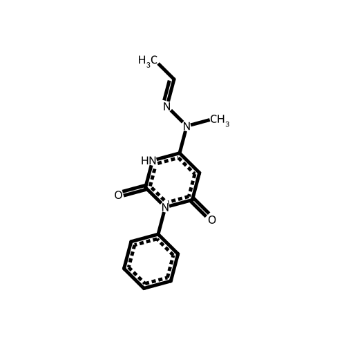 C/C=N/N(C)c1cc(=O)n(-c2ccccc2)c(=O)[nH]1